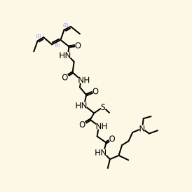 C\C=C/C=C(\C=C/C)C(=O)NCC(=O)NCC(=O)NC(SC)C(=O)NCC(=O)NC(C)C(C)CCCN(CC)CC